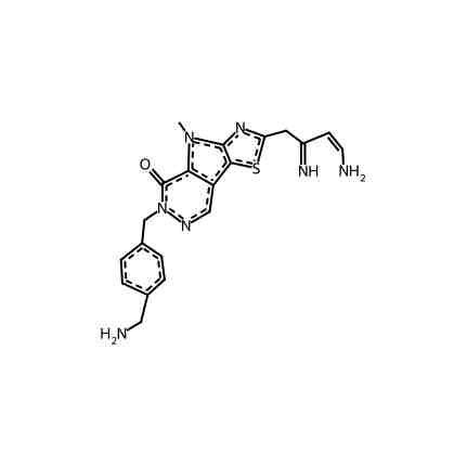 Cn1c2nc(CC(=N)/C=C\N)sc2c2cnn(Cc3ccc(CN)cc3)c(=O)c21